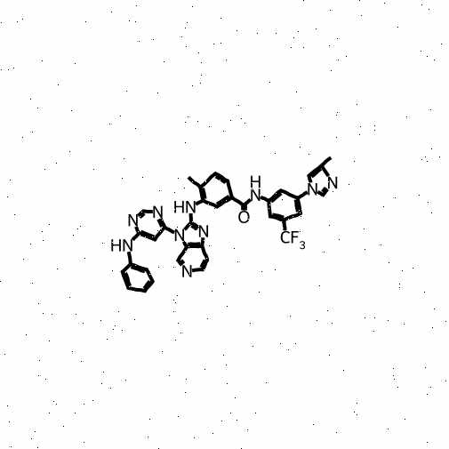 Cc1cn(-c2cc(NC(=O)c3ccc(C)c(Nc4nc5ccncc5n4-c4cc(Nc5ccccc5)ncn4)c3)cc(C(F)(F)F)c2)cn1